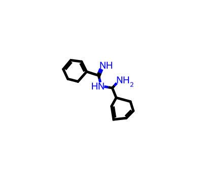 N=C(NC(N)C1C=CC=CC1)C1=CC=CCC1